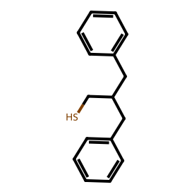 SCC(Cc1ccccc1)Cc1ccccc1